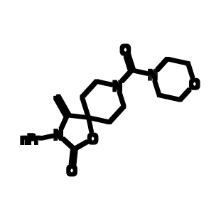 C=C1N(CCC)C(=O)OC12CCN(C(=O)N1CCOCC1)CC2